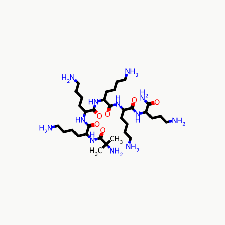 CC(C)(N)C(=O)NC(CCCCN)C(=O)NC(CCCCN)C(=O)NC(CCCCN)C(=O)NC(CCCCN)C(=O)NC(CCCN)C(N)=O